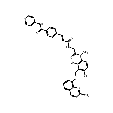 Cc1ccc2cccc(OCc3c(Cl)ccc(N(C)C(=O)CNC(=O)/C=C/c4ccc(C(=O)Nc5ccncc5)cc4)c3Cl)c2n1